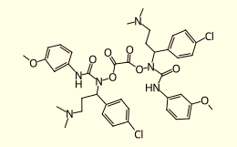 COc1cccc(NC(=O)N(OC(=O)C(=O)ON(C(=O)Nc2cccc(OC)c2)C(CCN(C)C)c2ccc(Cl)cc2)C(CCN(C)C)c2ccc(Cl)cc2)c1